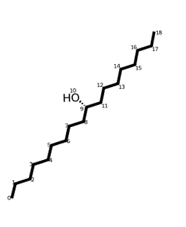 CCCCCCCCC[C@H](O)CCCCCCCC